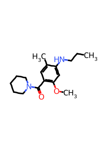 CCCNc1cc(OC)c(C(=O)N2CCCCC2)cc1C